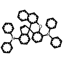 c1ccc(N(c2ccccc2)c2cccc3c2Oc2ccc4ccccc4c2C32c3ccccc3-c3c(N(c4ccccc4)c4ccccc4)cccc32)cc1